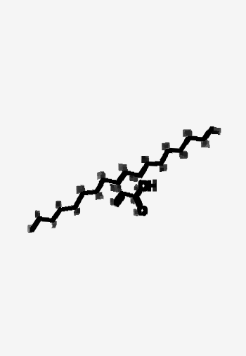 C=CC(=O)O.CCCCCCCCCCCCCCCCCC